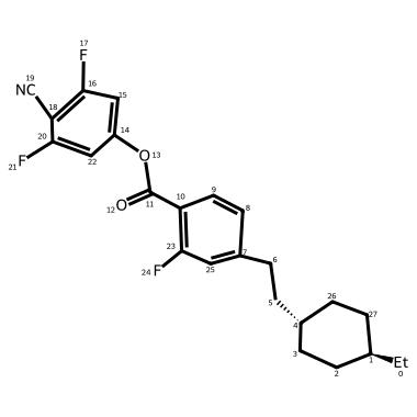 CC[C@H]1CC[C@H](CCc2ccc(C(=O)Oc3cc(F)c(C#N)c(F)c3)c(F)c2)CC1